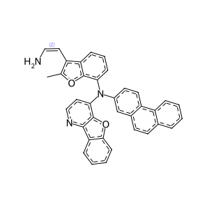 Cc1oc2c(N(c3ccc4c(ccc5ccccc54)c3)c3ccnc4c3oc3ccccc34)cccc2c1/C=C\N